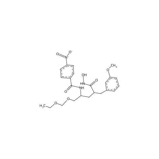 CCOCOCC(CC(Cc1cccc(OC)c1)C(=O)NO)NC(=O)c1ccc([N+](=O)[O-])cc1